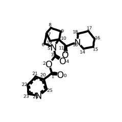 O=C(OC(=O)N1CC2CCC1(C(=O)N1CCCCC1)C2)c1cccnc1